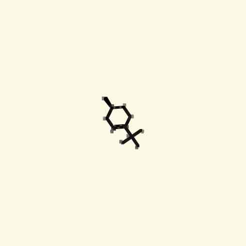 C[C@H]1CCC(C(C)(C)C)=NC1